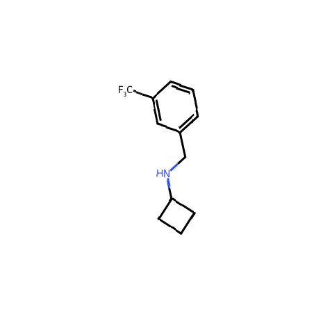 FC(F)(F)c1cccc(CNC2CCC2)c1